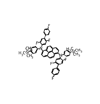 C[Si](C)(C)c1ccc(N(c2cc(F)c(-c3ccc(F)cc3)cc2F)c2ccc3ccc4c(N(c5ccc([Si](C)(C)C)cc5)c5cc(F)c(-c6ccc(F)cc6)cc5F)ccc5ccc2c3c54)cc1